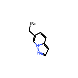 CC(C)(C)Cc1ccc2ccnn2c1